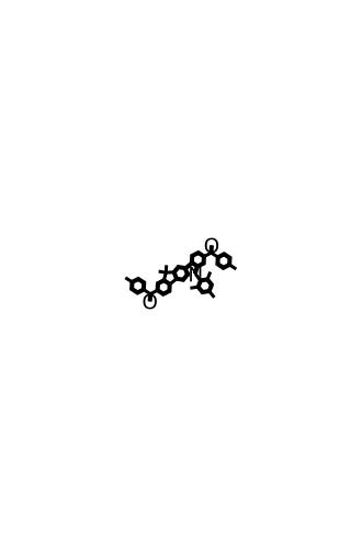 Cc1ccc(C(=O)c2ccc3c(c2)C(C)(C)c2cc4c5ccc(C(=O)c6ccc(C)cc6)cc5n(-c5c(C)cc(C)cc5C)c4cc2-3)cc1